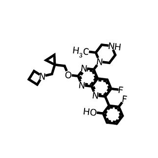 CC1CNCCN1c1nc(OCC2(CN3CCC3)CC2)nc2nc(-c3c(O)cccc3F)c(F)cc12